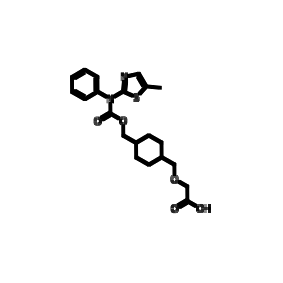 Cc1cnc(N(C(=O)OCC2CCC(COCC(=O)O)CC2)c2ccccc2)s1